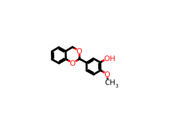 COc1ccc(C2OCc3ccccc3O2)cc1O